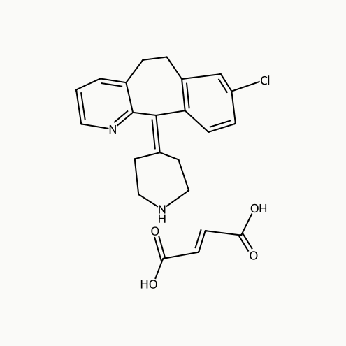 Clc1ccc2c(c1)CCc1cccnc1C2=C1CCNCC1.O=C(O)C=CC(=O)O